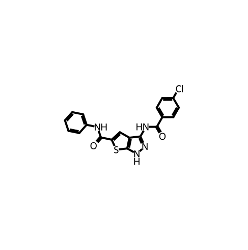 O=C(Nc1n[nH]c2sc(C(=O)Nc3ccccc3)cc12)c1ccc(Cl)cc1